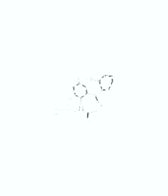 CC[S+]([O-])CN1C(=O)CN=C(c2ccccc2Cl)c2cc(Cl)ccc21